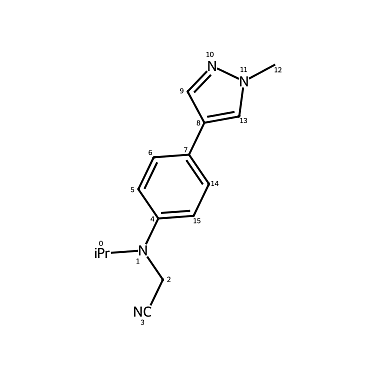 CC(C)N(CC#N)c1ccc(-c2cnn(C)c2)cc1